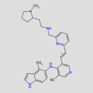 Cc1c(Nc2c(C#N)cncc2/C=C/c2cccc(CNCCC3CCCN3C)n2)ccc2[nH]ccc12